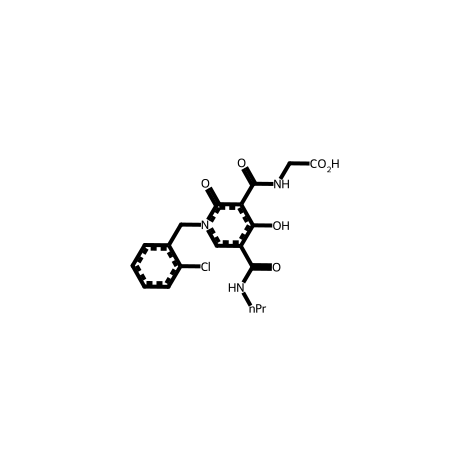 CCCNC(=O)c1cn(Cc2ccccc2Cl)c(=O)c(C(=O)NCC(=O)O)c1O